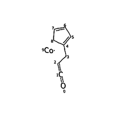 O=C=CCC1=CC=CC1.[Co]